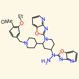 CCOc1cc(CN2CCC(C3CC(N(N)c4nc5ncccc5o4)CCN3c3nc4ncccc4o3)CC2)ccc1OC